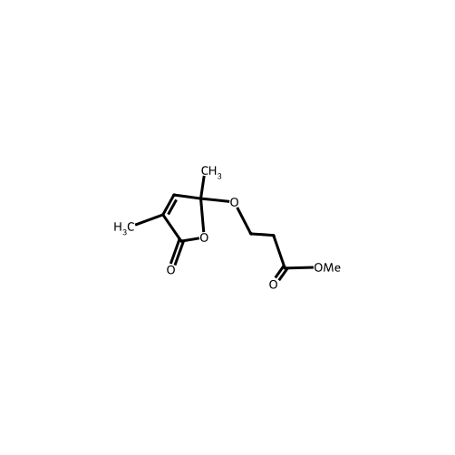 COC(=O)CCOC1(C)C=C(C)C(=O)O1